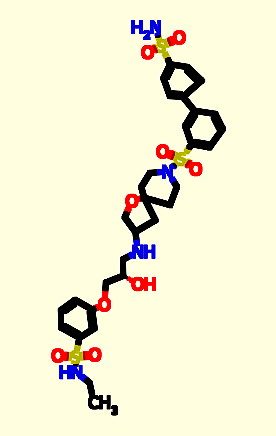 CCNS(=O)(=O)c1cccc(OC[C@@H](O)CNC2COC3(CCN(S(=O)(=O)c4cccc(-c5ccc(S(N)(=O)=O)cc5)c4)CC3)C2)c1